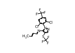 C/C=C/C=N/c1c(SC(F)(F)F)cnn1-c1c(Cl)cc(C(F)(F)F)cc1Cl